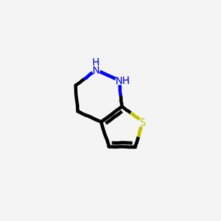 c1cc2c(s1)NNCC2